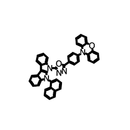 c1ccc2c(c1)Oc1ccccc1N2c1ccc(-c2nnc(-n3c4ccccc4c4c5ccccc5n(-c5cccc6ccccc56)c43)o2)cc1